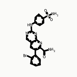 NC(=O)c1nc2nc(Nc3ccc(S(N)(=O)=O)cc3)ncc2cc1-c1ccccc1Br